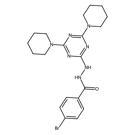 O=C(NNc1nc(N2CCCCC2)nc(N2CCCCC2)n1)c1ccc(Br)cc1